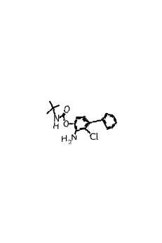 CC(C)(C)NC(=O)Oc1ccc(-c2ccccc2)c(Cl)c1N